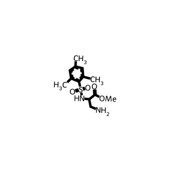 COC(=O)C(CN)NS(=O)(=O)c1c(C)cc(C)cc1C